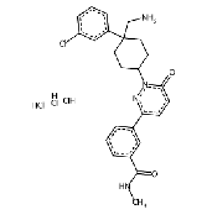 CNC(=O)c1cccc(-c2ccc(=O)n(C3CCC(CN)(c4cccc(Cl)c4)CC3)n2)c1.Cl.Cl.Cl